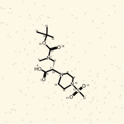 CN(C[C@@H](C(=O)O)N1CCN(S(C)(=O)=O)CC1)C(=O)OC(C)(C)C